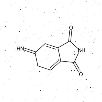 N=C1C=C2C(=O)NC(=O)C2=CC1